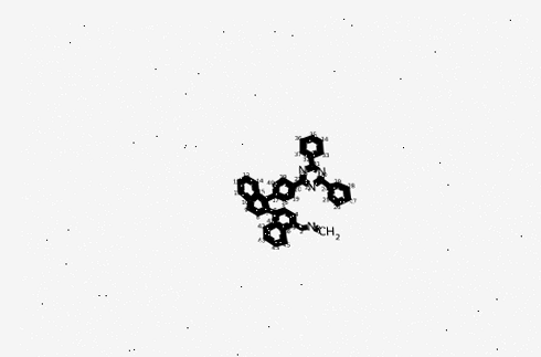 C=NCc1ccc(-c2ccc3ccccc3c2-c2ccc(-c3nc(-c4ccccc4)nc(-c4ccccc4)n3)cc2)c2ccccc12